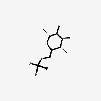 CC1[C@@H](C)[C@H](C)C(CSC(F)(F)F)O[C@@H]1C